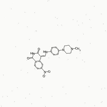 CN1CCN(c2ccc(NC=C3C(=O)NC(=O)c4ccc([N+](=O)[O-])cc43)cc2)CC1